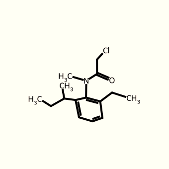 CCc1cccc(C(C)CC)c1N(C)C(=O)CCl